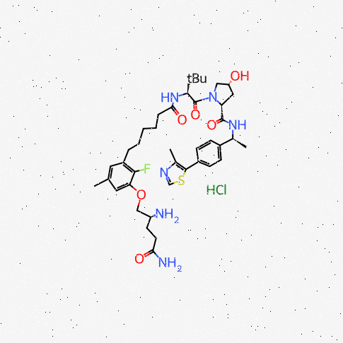 Cc1cc(CCCCCC(=O)N[C@H](C(=O)N2C[C@H](O)C[C@H]2C(=O)N[C@@H](C)c2ccc(-c3scnc3C)cc2)C(C)(C)C)c(F)c(OC[C@@H](N)CCC(N)=O)c1.Cl